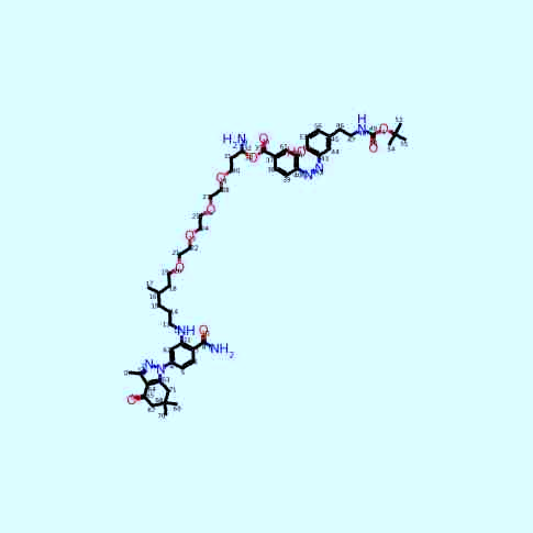 Cc1nn(-c2ccc(C(N)=O)c(NCCCC(C)CCOCCOCCOCCOCCC(N)OC(=O)c3ccc(/N=N\c4cc(CCNC(=O)OC(C)(C)C)ccc4O)cc3)c2)c2c1C(=O)CC(C)(C)C2